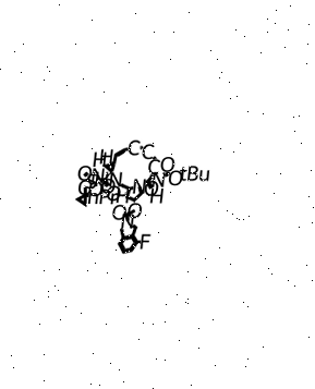 CCCC1(OS(=O)(=O)NC(=O)[C@@]23C[C@H]2/C=C\CCCCC[C@H](NC(=O)OC(C)(C)C)C(=O)N2C[C@H](OC(=O)N4Cc5cccc(F)c5C4)C[C@H]2C(=O)N3)CC1